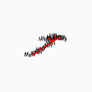 CN[C@@H](CCCCNC(=O)COCCOCCNC(=O)COCCOCCNC(=O)CCCC(=O)NCCCC[C@H](CC(=O)CCCC(=O)CC(CNC(C)(C)/C(C)=N/O)CNC(C)(C)/C(C)=N/O)C(=O)NCCCC[C@H](NC)C(N)=O)C(N)=O